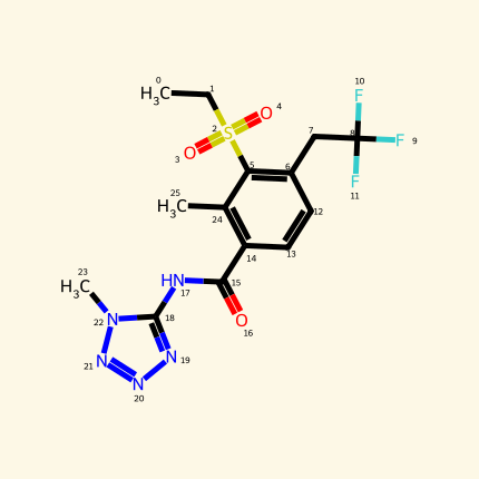 CCS(=O)(=O)c1c(CC(F)(F)F)ccc(C(=O)Nc2nnnn2C)c1C